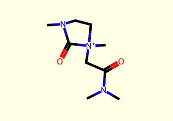 CN(C)C(=O)C[N+]1(C)CCN(C)C1=O